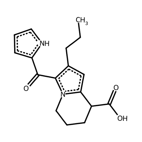 CCCc1cc2n(c1C(=O)c1ccc[nH]1)CCCC2C(=O)O